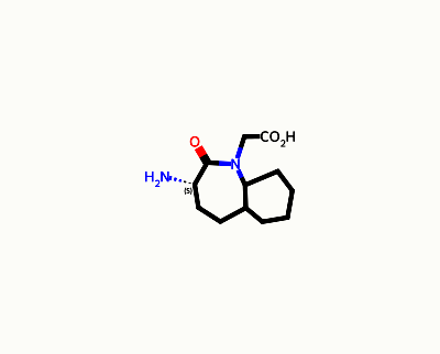 N[C@H]1CCC2CCCCC2N(CC(=O)O)C1=O